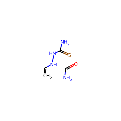 C=CNNC(N)=S.NC=O